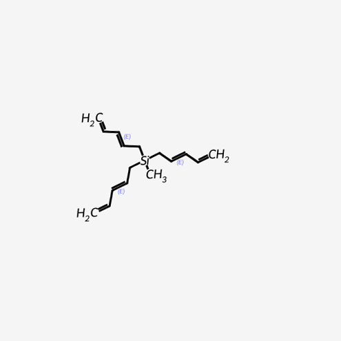 C=C/C=C/C[Si](C)(C/C=C/C=C)C/C=C/C=C